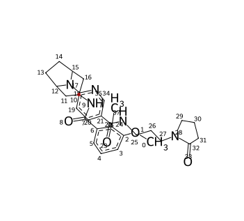 COc1cccc(C(=O)NC2CC3CCC(C2)N3c2ccc(C(=O)NCCCN3CCCC3=O)cn2)c1C